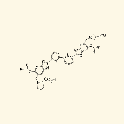 Cc1c(-c2nc3cc(CN4CC(C#N)C4)c(OC(F)F)cc3o2)cccc1-c1cccc(-c2nc3cc(CN4CCC[C@H]4C(=O)O)c(OC(F)F)cc3o2)c1C